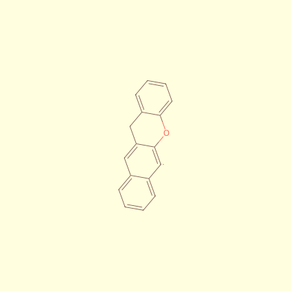 [c]1c2c(cc3ccccc13)Cc1ccccc1O2